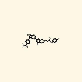 Cc1cc(-c2cnc3[nH]cc(-c4ccc(C(=O)N(C)C)cc4)c3n2)cc2c1CCN(CCC(=O)Nc1ccc(F)cc1)C2